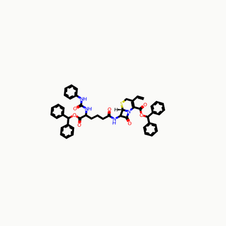 C=CC1=C(C(=O)OC(c2ccccc2)c2ccccc2)N2C(=O)C(NC(=O)CCCC(NC(=O)Nc3ccccc3)C(=O)OC(c3ccccc3)c3ccccc3)[C@@H]2SC1